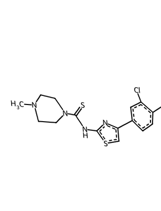 CN1CCN(C(=S)Nc2nc(-c3ccc(Cl)c(Cl)c3)cs2)CC1